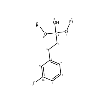 CCO[Si](O)(CCc1cccc(F)c1)OCC